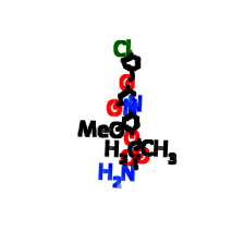 COc1cc(-n2ncc(OCc3ccc(Cl)cc3)cc2=O)ccc1OCC(C)(C)OC(=O)CN